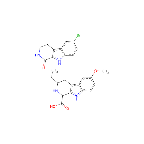 CCC1Cc2c([nH]c3ccc(OC)cc23)C(C(=O)O)N1.O=C1NCCc2c1[nH]c1ccc(Br)cc21